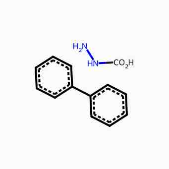 NNC(=O)O.c1ccc(-c2ccccc2)cc1